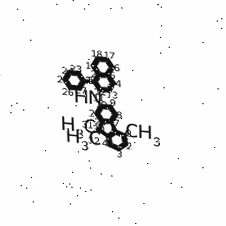 Cc1cccc2c1-c1ccc(Nc3ccc4ccccc4c3-c3ccccc3)cc1C2(C)C